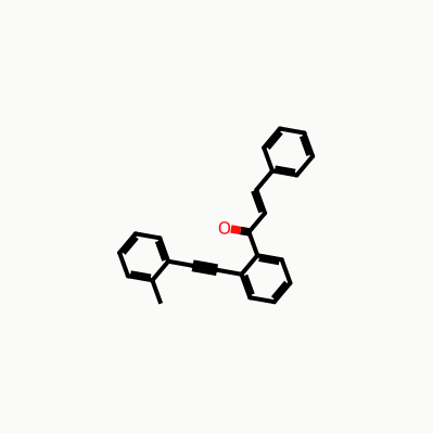 Cc1ccccc1C#Cc1ccccc1C(=O)/C=C/c1ccccc1